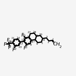 C=CCCC1CCC2c3cc(F)c(-c4ccc(C(F)(F)F)c(F)c4)c(F)c3CCC2C1